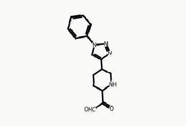 O=CC(=O)C1CCC(c2cn(-c3ccccc3)nn2)CN1